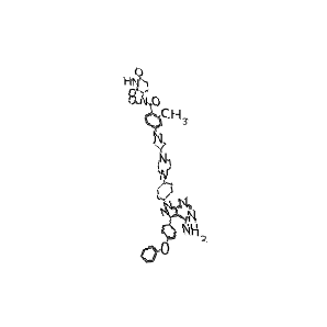 Cc1cc(N2CC(N3CCN(C4CCC(n5nc(-c6ccc(Oc7ccccc7)cc6)c6c(N)ncnc65)CC4)CC3)C2)ccc1C(=O)N(C=O)C1CCC(=O)NC1=O